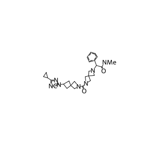 CNC(=O)C(c1ccccc1)N1CC2(CN(C(=O)N3CC4(CC(n5cnc(C6CC6)n5)C4)C3)C2)C1